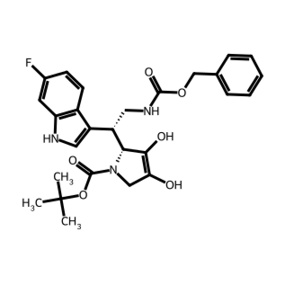 CC(C)(C)OC(=O)N1CC(O)=C(O)[C@H]1[C@@H](CNC(=O)OCc1ccccc1)c1c[nH]c2cc(F)ccc12